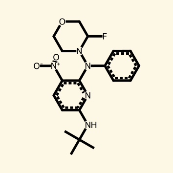 CC(C)(C)Nc1ccc([N+](=O)[O-])c(N(c2ccccc2)N2CCOCC2F)n1